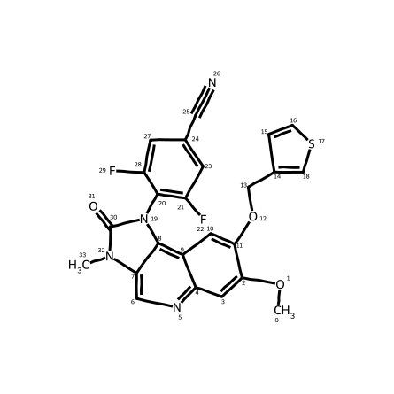 COc1cc2ncc3c(c2cc1OCc1ccsc1)n(-c1c(F)cc(C#N)cc1F)c(=O)n3C